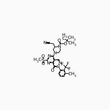 Cc1cccc(-n2ncc3c(N4CCN(C(=O)OC(C)(C)C)C(CC#N)C4)nc(S(C)(=O)=O)nc3c2=O)c1C(F)(F)F